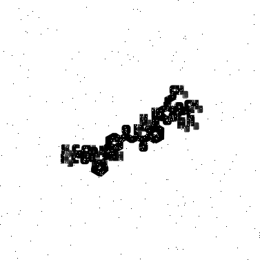 CCCN(CC(=O)Nc1cccc(C(=O)NCC(=O)c2ccc3nc([C@@H]4CCCN4C(=O)OC(C)(C)C)[nH]c3c2)c1C)C(=O)OC(C)(C)C